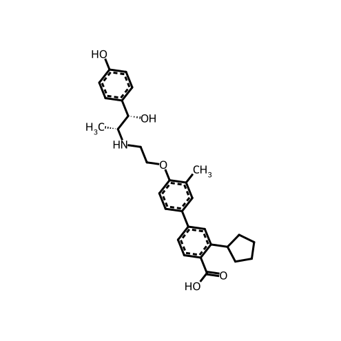 Cc1cc(-c2ccc(C(=O)O)c(C3CCCC3)c2)ccc1OCCN[C@H](C)[C@@H](O)c1ccc(O)cc1